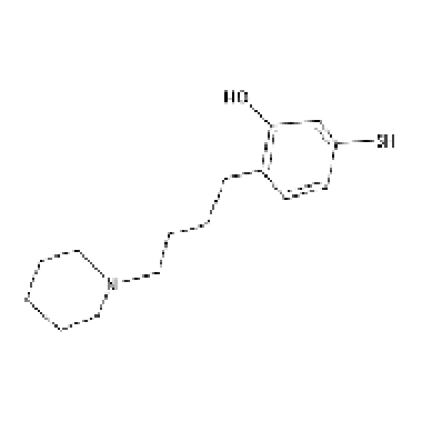 Oc1cc(S)ccc1CCCCN1CCCCC1